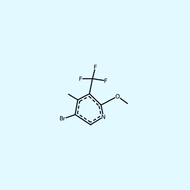 COc1ncc(Br)c(C)c1C(F)(F)F